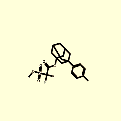 COS(=O)(=O)C(F)(F)C(=O)OC12CC3CC(C1)CC(c1ccc(C)cc1)(C3)C2